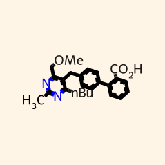 CCCCc1nc(C)nc(COC)c1Cc1ccc(-c2ccccc2C(=O)O)cc1